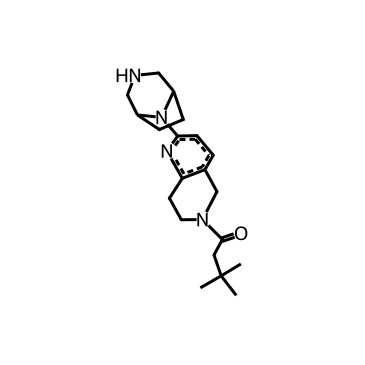 CC(C)(C)CC(=O)N1CCc2nc(N3C4CCC3CNC4)ccc2C1